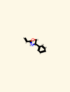 C=CC1=NC(c2ccccc2)CO1